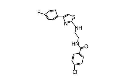 O=C(NCCNc1nc(-c2ccc(F)cc2)cs1)c1ccc(Cl)cc1